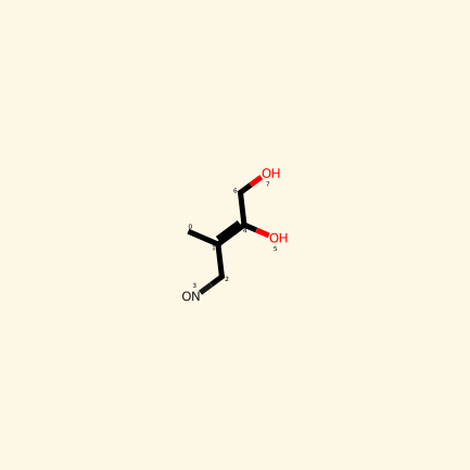 C/C(CN=O)=C(/O)CO